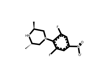 C[C@H]1CN(c2c(F)cc([N+](=O)[O-])cc2F)C[C@H](C)N1